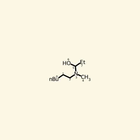 CCCCCCN(C)C(O)CC